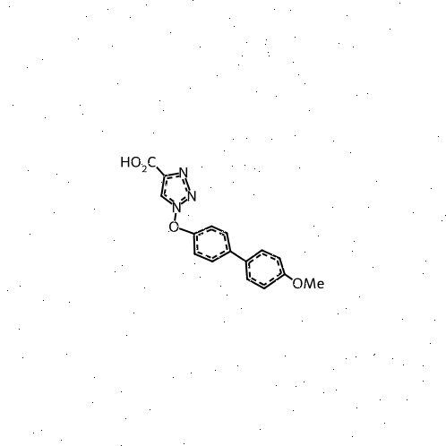 COc1ccc(-c2ccc(On3cc(C(=O)O)nn3)cc2)cc1